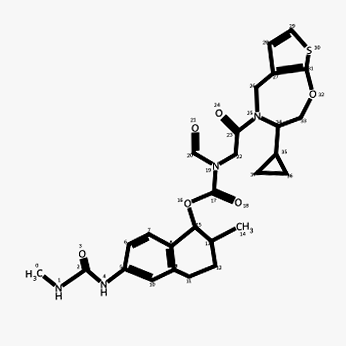 CNC(=O)Nc1ccc2c(c1)CCC(C)C2OC(=O)N(C=O)CC(=O)N1Cc2ccsc2OCC1C1CC1